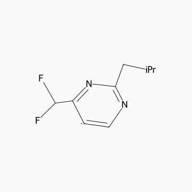 CC(C)Cc1nc[c]c(C(F)F)n1